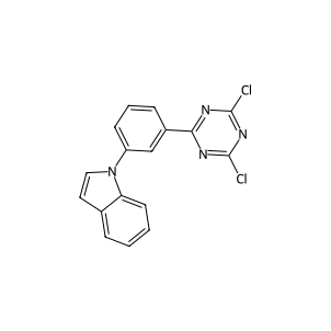 Clc1nc(Cl)nc(-c2cccc(-n3ccc4ccccc43)c2)n1